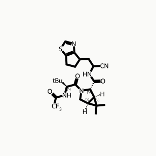 CC(C)(C)[C@H](NC(=O)C(F)(F)F)C(=O)N1C[C@H]2[C@@H]([C@H]1C(=O)NC(C#N)CC1CCc3scnc31)C2(C)C